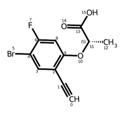 C#Cc1cc(Br)c(F)cc1O[C@@H](C)C(=O)O